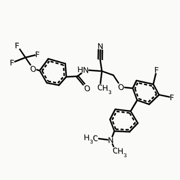 CN(C)c1ccc(-c2cc(F)c(F)cc2OCC(C)(C#N)NC(=O)c2ccc(OC(F)(F)F)cc2)cc1